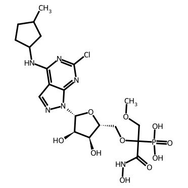 COCC(OC[C@H]1O[C@@H](n2ncc3c(NC4CCC(C)C4)nc(Cl)nc32)[C@H](O)[C@@H]1O)(C(=O)NO)P(=O)(O)O